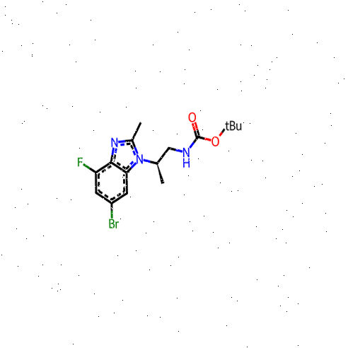 Cc1nc2c(F)cc(Br)cc2n1[C@H](C)CNC(=O)OC(C)(C)C